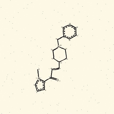 Cn1cccc1C(=O)/C=C/C1CCN(Cc2ccccc2)CC1